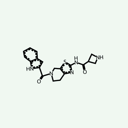 O=C(Nc1nc2c(s1)CN(C(=O)c1cc3ccccc3[nH]1)CC2)C1CNC1